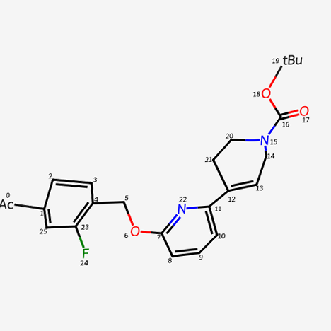 CC(=O)c1ccc(COc2cccc(C3=CCN(C(=O)OC(C)(C)C)CC3)n2)c(F)c1